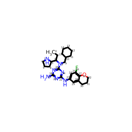 CCC(C1CCCN1)N(CC1CCCCC1)c1nc(N)nc(Nc2cc(F)c3c(c2)CCCO3)n1